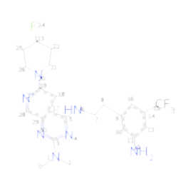 CN(C)c1nc(NCCc2cc(N)cc(C(F)(F)F)c2)c2cc(N3CCC(F)CC3)ncc2n1